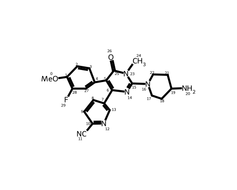 COc1ccc(-c2c(-c3ccc(C#N)nc3)nc(N3CCC(N)CC3)n(C)c2=O)cc1F